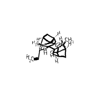 C=CCBC1(C2C[C@@H]3C[C@H]([C@H]2C)C3(C)C)C[C@@H]2C[C@H]([C@H]1C)C2(C)C